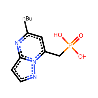 CCCCc1cc(CP(=O)(O)O)n2nccc2n1